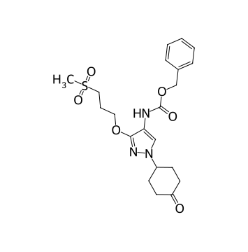 CS(=O)(=O)CCCOc1nn(C2CCC(=O)CC2)cc1NC(=O)OCc1ccccc1